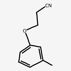 Cc1cccc(OCCC#N)c1